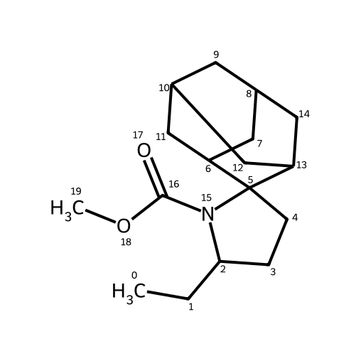 CCC1CCC2(C3CC4CC(C3)CC2C4)N1C(=O)OC